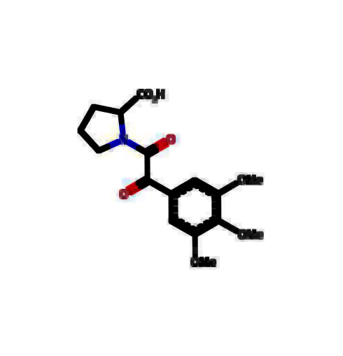 COc1cc(C(=O)C(=O)N2CCCC2C(=O)O)cc(OC)c1OC